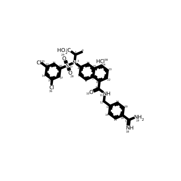 CC(C(=O)O)N(c1ccc2c(C(=O)NCc3ccc(C(=N)N)cc3)cccc2c1)S(=O)(=O)c1cc(Cl)cc(Cl)c1.Cl